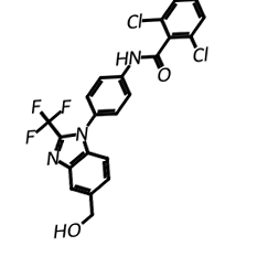 O=C(Nc1ccc(-n2c(C(F)(F)F)nc3cc(CO)ccc32)cc1)c1c(Cl)cccc1Cl